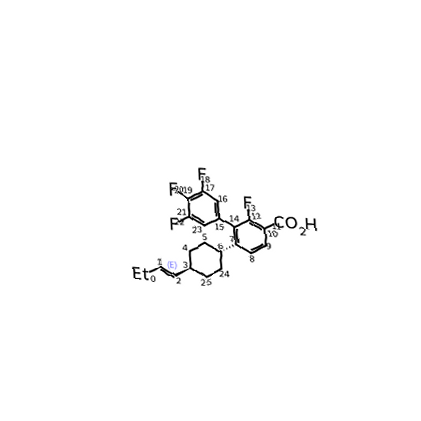 CC/C=C/[C@H]1CC[C@H](c2ccc(C(=O)O)c(F)c2-c2cc(F)c(F)c(F)c2)CC1